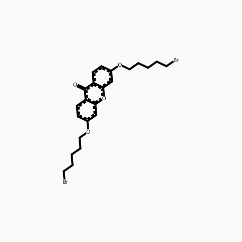 O=c1c2ccc(OCCCCCBr)cc2oc2cc(OCCCCCBr)ccc12